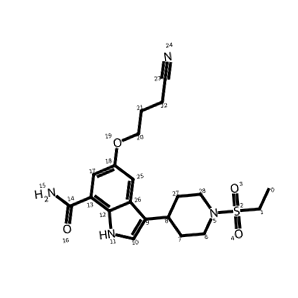 CCS(=O)(=O)N1CCC(c2c[nH]c3c(C(N)=O)cc(OCCCC#N)cc23)CC1